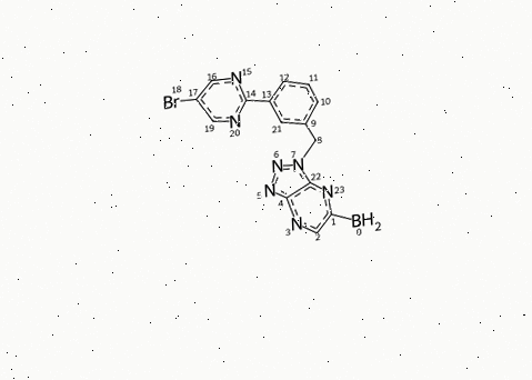 Bc1cnc2nnn(Cc3cccc(-c4ncc(Br)cn4)c3)c2n1